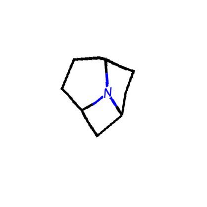 C1CC2CC3CC1N23